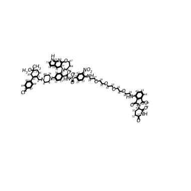 CC1(C)CCC(CN2CCN(c3ccc(C(=O)NS(=O)(=O)c4ccc(NCCOCCOCCOCCOCCNc5cccc6c5C(=O)N(C5CCC(=O)NC5=O)C6=O)c([N+](=O)[O-])c4)c(N4CCCOc5nc6[nH]ccc6cc54)c3)CC2)=C(c2ccc(Cl)cc2)C1